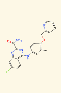 Cc1cc(Nc2nc(C(N)=O)nc3cc(F)[c]cc23)ccc1OCc1ccccn1